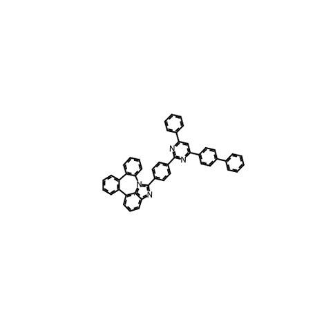 c1ccc(-c2ccc(-c3cc(-c4ccccc4)nc(-c4ccc(-c5nc6cccc7c6n5-c5ccccc5-c5ccccc5-7)cc4)n3)cc2)cc1